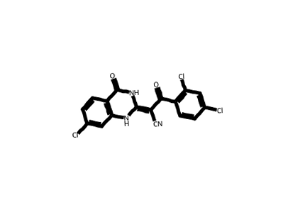 N#CC(C(=O)c1ccc(Cl)cc1Cl)=C1NC(=O)c2ccc(Cl)cc2N1